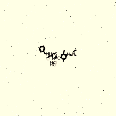 CCN(C)C=Nc1cc(C)c(Cc2nc(C(=O)NCc3ccccc3)cs2)cc1C.Cl.Cl